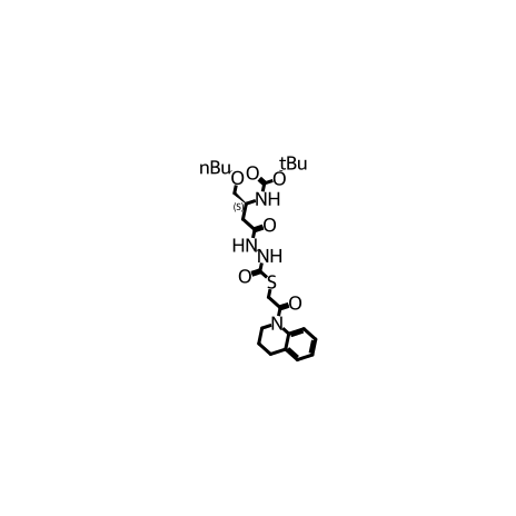 CCCCOC[C@H](CC(=O)NNC(=O)SCC(=O)N1CCCc2ccccc21)NC(=O)OC(C)(C)C